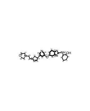 O[C@@H]1CCCC[C@H]1Nc1nc2ccc(Oc3cncc(C4C=NN(CCN5CCOCC5)C4)c3)cc2s1